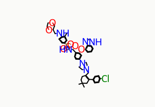 Cc1cc(S(=O)(=O)NC(=O)c2ccc(N3CCN(CC4=C(c5ccc(Cl)cc5)CC(C)(C)CC4)CC3)cc2Oc2cccc3[nH]cnc23)ccc1NCC1COCCO1